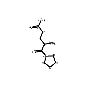 NC(CCC(=O)O)C(=O)N1CCCC1